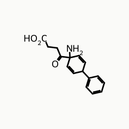 NC1(C(=O)CCC(=O)O)C=CC(c2ccccc2)C=C1